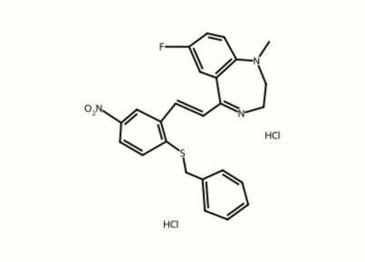 CN1CCN=C(C=Cc2cc([N+](=O)[O-])ccc2SCc2ccccc2)c2cc(F)ccc21.Cl.Cl